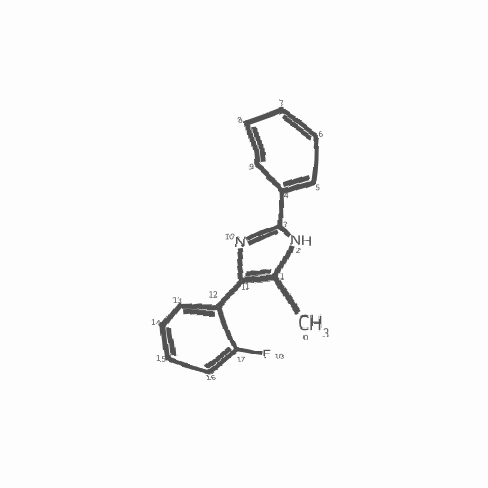 Cc1[nH]c(-c2ccccc2)nc1-c1ccccc1F